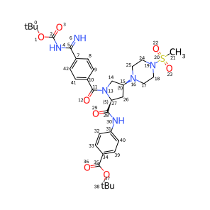 CC(C)(C)OC(=O)NC(=N)c1ccc(C(=O)N2C[C@@H](N3CCN(S(C)(=O)=O)CC3)C[C@H]2C(=O)Nc2ccc(C(=O)OC(C)(C)C)cc2)cc1